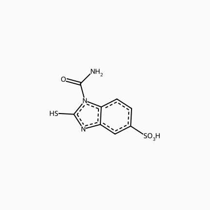 NC(=O)n1c(S)nc2cc(S(=O)(=O)O)ccc21